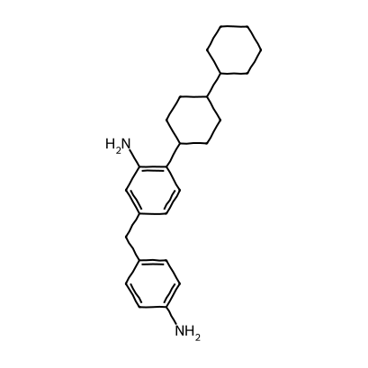 Nc1ccc(Cc2ccc(C3CCC(C4CCCCC4)CC3)c(N)c2)cc1